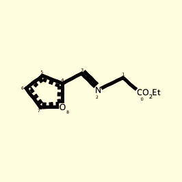 CCOC(=O)CN=Cc1ccco1